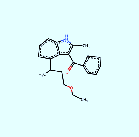 CCOCCC(C)c1cccc2[nH]c(C)c(C(=O)c3ccccc3)c12